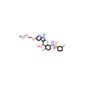 COCCOc1cnc2[nH]cc(C(O)c3c(F)ccc(NS(=O)(=O)c4cccc(F)c4)c3F)c2c1